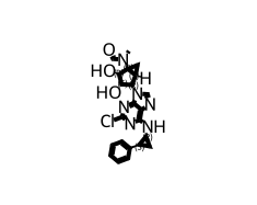 CN(C=O)[C@@]12C[C@H]1[C@@H](n1cnc3c(N[C@@H]4C[C@H]4c4ccccc4)nc(Cl)nc31)[C@H](O)[C@@H]2O